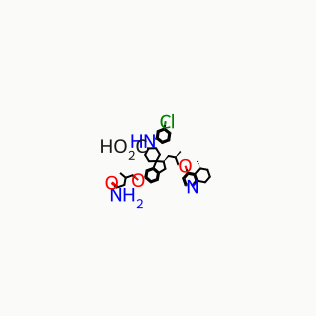 CC(COc1ccc2c(c1)C1(CCC(Nc3cccc(Cl)c3)(C(=O)O)CC1)[C@@H](C[C@@H](C)COc1ccnc3c1[C@H](C)CCC3)C2)CC(N)=O